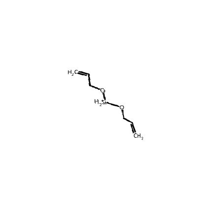 C=CCO[SiH2]OCC=C